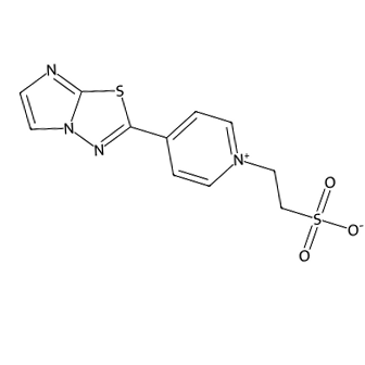 O=S(=O)([O-])CC[n+]1ccc(-c2nn3ccnc3s2)cc1